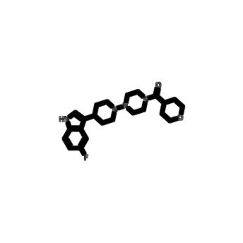 O=C(C1CCOCC1)N1CCN(N2CCC(c3c[nH]c4ccc(F)cc34)CC2)CC1